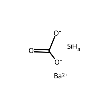 O=C([O-])[O-].[Ba+2].[SiH4]